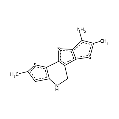 Cc1cc2c(s1)-c1sc3c(N)c(C)sc3c1CN2